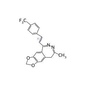 CC1=NN=C(/C=C/c2ccc(C(F)(F)F)cc2)c2cc3c(cc2C1)OCO3